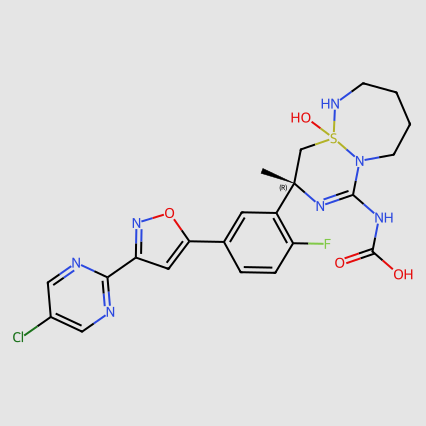 C[C@@]1(c2cc(-c3cc(-c4ncc(Cl)cn4)no3)ccc2F)CS2(O)NCCCCN2C(NC(=O)O)=N1